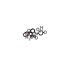 Cn1c(=O)n(C2CCC(=O)NC2=O)c2cccc(C3CC4CCC(C3)N4C(=O)OC(C)(C)C)c21